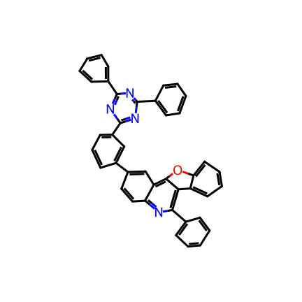 c1ccc(-c2nc(-c3ccccc3)nc(-c3cccc(-c4ccc5nc(-c6ccccc6)c6c7ccccc7oc6c5c4)c3)n2)cc1